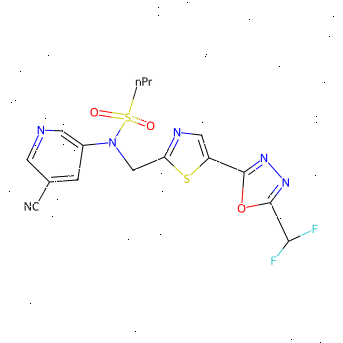 CCCS(=O)(=O)N(Cc1ncc(-c2nnc(C(F)F)o2)s1)c1cncc(C#N)c1